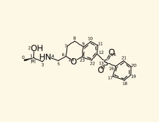 C[C@@H](O)CNCC1CCc2ccc(S(=O)(=O)c3ccccc3)cc2O1